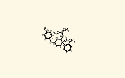 Cc1ccccc1C1(O)CCC(Cc2ccc(F)cc2)CC1CN(C)C